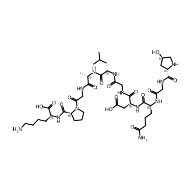 CC(C)C[C@H](NC(=O)CNC(=O)[C@H](CC(=O)O)NC(=O)[C@H](CCCC(N)=O)NC(=O)CNC(=O)[C@@H]1C[C@@H](O)CN1)C(=O)N[C@@H](C)C(=O)NCC(=O)N1CCC[C@H]1C(=O)N[C@@H](CCCCN)C(=O)O